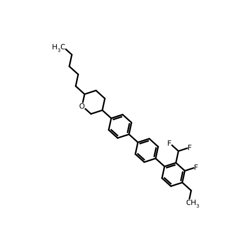 CCCCCC1CCC(c2ccc(-c3ccc(-c4ccc(CC)c(F)c4C(F)F)cc3)cc2)CO1